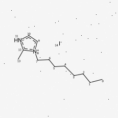 CCCCCCCC[n+]1cc[nH]c1C.[I-]